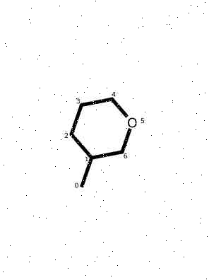 CC1CC[CH]OC1